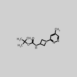 Cc1cnnc(N2CC(NC(=O)OC(C)(C)C)C2)c1